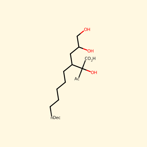 CCCCCCCCCCCCCCCC(CC(O)CO)C(O)(C(C)=O)C(=O)O